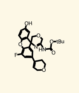 CC(C)(C)OC(=O)NC1=NC2(COC1)c1cc(O)ccc1Oc1c(F)cc(C3=CCOCC3)cc12